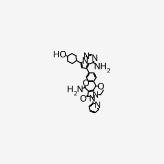 NC(=O)c1c2n(n(-c3ccccn3)c1=O)CCOC2c1ccc(-c2cc(C3CCC(O)CC3)n3ncnc(N)c23)cc1